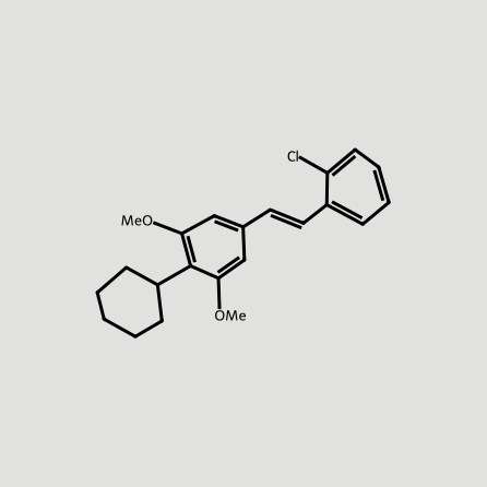 COc1cc(C=Cc2ccccc2Cl)cc(OC)c1C1CCCCC1